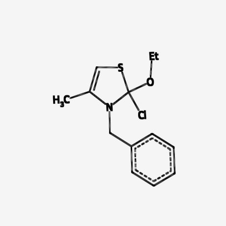 CCOC1(Cl)SC=C(C)N1Cc1ccccc1